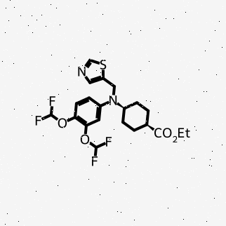 CCOC(=O)[C@H]1CC[C@@H](N(Cc2cncs2)c2ccc(OC(F)F)c(OC(F)F)c2)CC1